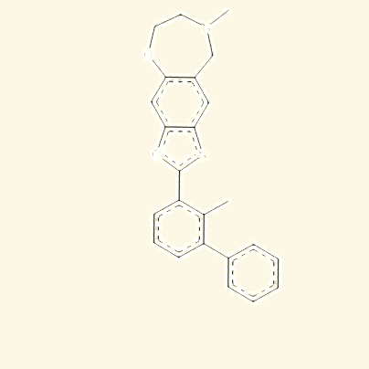 Cc1c(-c2ccccc2)cccc1-c1nc2cc3c(cc2o1)OCCN(C)C3